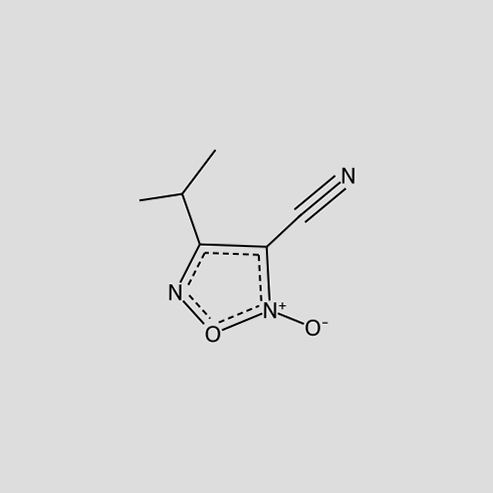 CC(C)c1no[n+]([O-])c1C#N